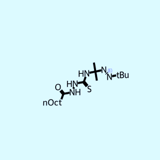 CCCCCCCCC(=O)NNC(=S)NC(C)(C)/N=N/C(C)(C)C